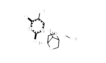 Cc1cn([C@@H]2O[C@@]3(CO)CO[C@@H]2[C@@H]3N)c(=O)[nH]c1=O